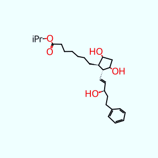 CC(C)OC(=O)CCCCCC[C@@H]1[C@@H](/C=C/[C@H](O)CCc2ccccc2)[C@H](O)C[C@@H]1O